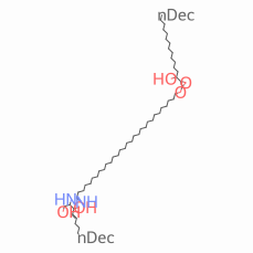 CCCCCCCCCCCCC/C=C/C(O)C(CO)NC(=N)CCCCCCCCCCCCCCCCCCCCCCCCCCCCCOC1OC1C(O)CCCCCCCCCCCCCCCCCCCCCC